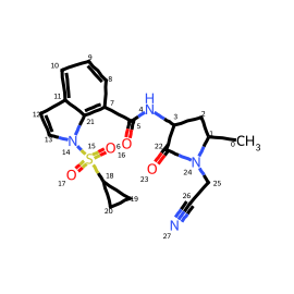 CC1CC(NC(=O)c2cccc3ccn(S(=O)(=O)C4CC4)c23)C(=O)N1CC#N